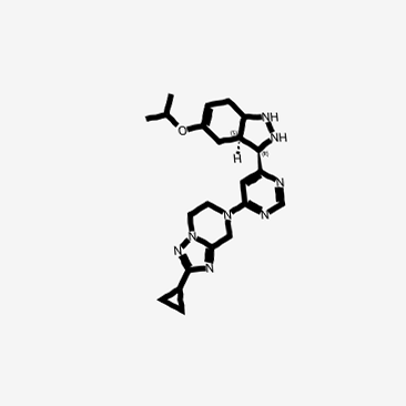 CC(C)OC1=CCC2NN[C@@H](c3cc(N4CCn5nc(C6CC6)nc5C4)ncn3)[C@H]2C1